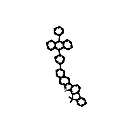 CC1(C)c2ccccc2-c2ccc3c(sc4cc5ccc(-c6ccc(-c7c8ccccc8c(-c8ccccc8)c8ccccc78)cc6)cc5cc43)c21